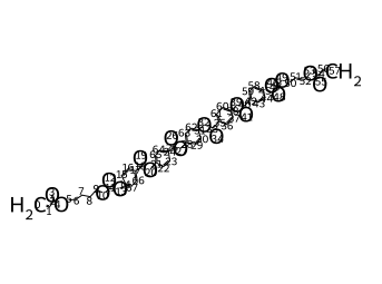 C=CC(=O)OCCCCCOC(=O)Oc1ccc(C(=O)Oc2ccc(C(=O)Oc3ccc(OC(=O)c4ccc(OC(=O)c5ccc(OC(=O)OCCCOC(=O)C=C)cc5)cc4)cc3)cc2)cc1